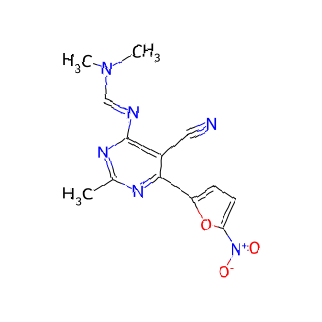 Cc1nc(N=CN(C)C)c(C#N)c(-c2ccc([N+](=O)[O-])o2)n1